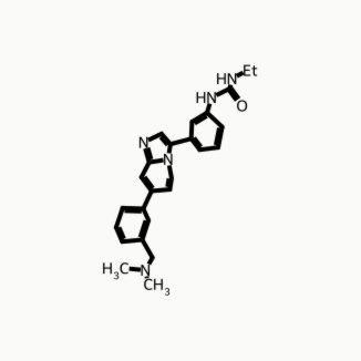 CCNC(=O)Nc1cccc(-c2cnc3cc(-c4cccc(CN(C)C)c4)ccn23)c1